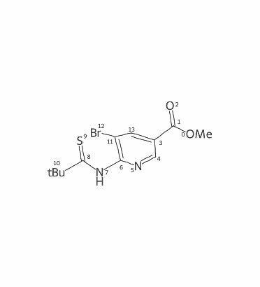 COC(=O)c1cnc(NC(=S)C(C)(C)C)c(Br)c1